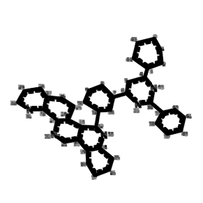 c1ccc(-c2cc(-c3cccc(-c4nc5ccccc5c5cnc6c(ccc7cccnc76)c45)c3)nc(-c3ccccc3)n2)cc1